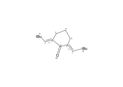 CC(C)(C)/C=C1\CCC/C(=C\C(C)(C)C)C1=O